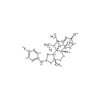 CC1[C@@H]2[C@@H](CC[C@]3(C)CC(Oc4ccc(F)cc4)C[C@@H]23)[C@@]2(C)CCC(=O)C=C2N1C